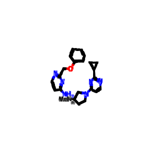 CN[C@@H]1CCN(c2ccnc(C3CC3)n2)C1.Nc1ccnc(COc2ccccc2)n1